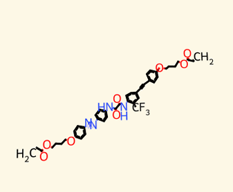 C=CC(=O)OCCCCOc1ccc(C#Cc2ccc(NC(=O)C(=O)Nc3ccc(/N=N/c4ccc(OCCCCOC(=O)C=C)cc4)cc3)c(C(F)(F)F)c2)cc1